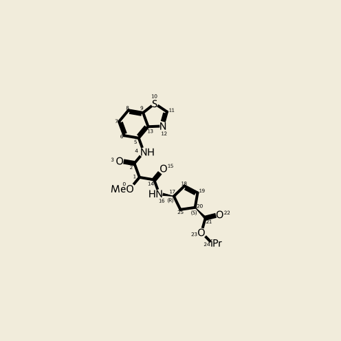 COC(C(=O)Nc1cccc2scnc12)C(=O)N[C@H]1C=C[C@@H](C(=O)OC(C)C)C1